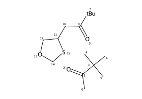 CC(=O)C(C)(C)C.CC(C)(C)C(=O)CC1COCS1